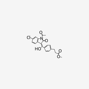 COC(=O)CCc1ccc(C(O)=C2C(=O)N(C(C)=O)c3cc(Cl)ccc32)cc1